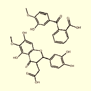 COc1c(O)cc2c(c1O)C(=O)C(CC(=O)O)C(c1ccc(O)c(O)c1)O2.COc1ccc(C(=O)c2ccccc2C(=O)O)cc1O